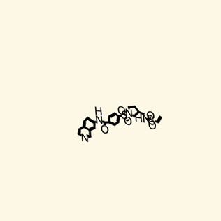 C=CS(=O)(=O)NCC1CCN(S(=O)(=O)c2ccc(C(=O)Nc3ccc4ccncc4c3)cc2)C1